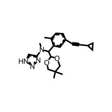 Cc1ccc(C#CC2CC2)cc1C(C1OCC(C)(C)CO1)N(C)c1c[nH]nn1